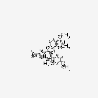 COC(=O)c1cccc(CN(Cc2ccc(OC)cc2C)C(=O)c2cc(C3CC3)nn2C)c1OC